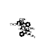 COc1cc(OC)nc(NC(=O)N(c2ccccc2-c2nc(C)nc(OC)n2)S(=O)(=O)Oc2ccccc2-c2ccon2)n1